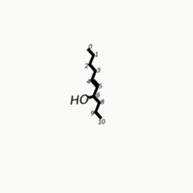 CCCCC=CC(O)CCC